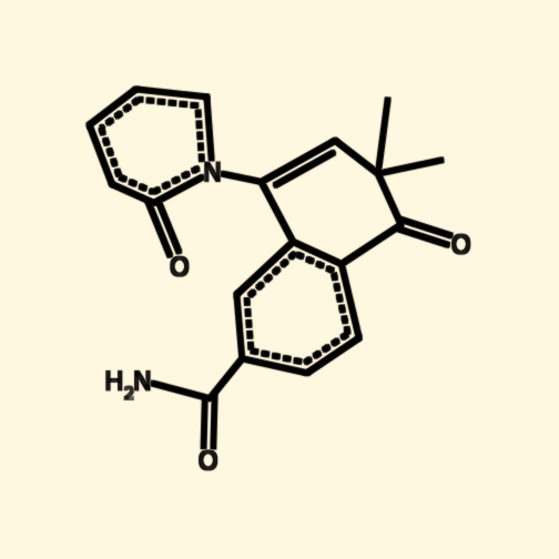 CC1(C)C=C(n2ccccc2=O)c2cc(C(N)=O)ccc2C1=O